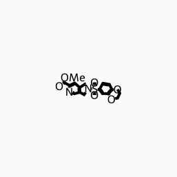 COC(=O)c1cc2c(cn1)CN(S(=O)(=O)c1ccc3c(c1)OCCO3)C2